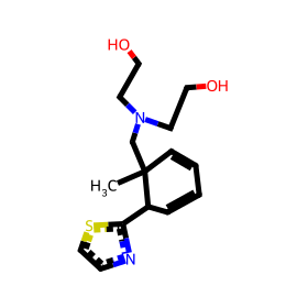 CC1(CN(CCO)CCO)C=CC=CC1c1nccs1